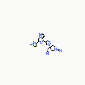 Cn1ccc(-c2cn3nccc3c(-c3cnn(C4(CC#N)CCN(C#N)CC4)c3)n2)n1